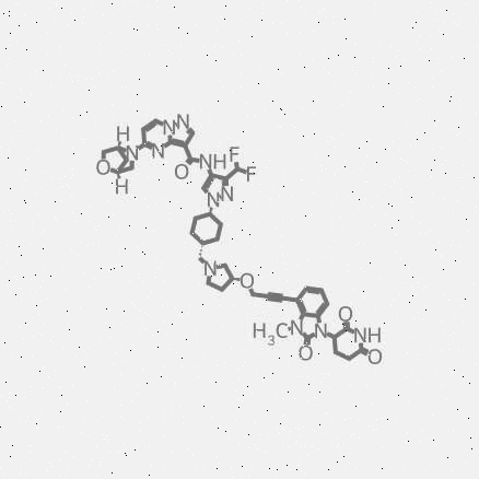 Cn1c(=O)n(C2CCC(=O)NC2=O)c2cccc(C#CCO[C@H]3CCN(C[C@H]4CC[C@H](n5cc(NC(=O)c6cnn7ccc(N8C[C@H]9C[C@@H]8CO9)nc67)c(C(F)F)n5)CC4)C3)c21